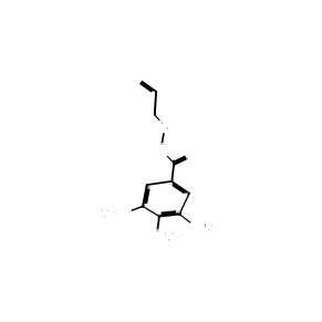 C=CC[N]OC(=O)c1cc(OC)c(OC)c(OC)c1